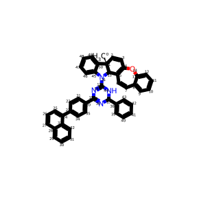 C[C@]12C=CC3=C(C=Cc4ccccc4O3)C1N(C1=NC(c3ccc(-c4cccc5ccccc45)cc3)=NC(c3ccccc3)N1)c1ccccc12